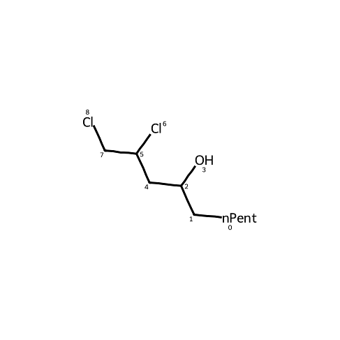 CCCCCCC(O)CC(Cl)CCl